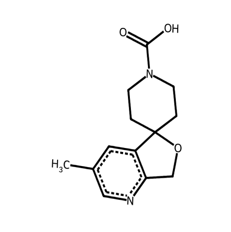 Cc1cnc2c(c1)C1(CCN(C(=O)O)CC1)OC2